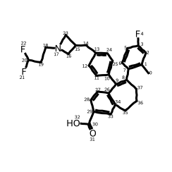 Cc1cc(F)ccc1C1=C(c2ccc(CC3CN(CCC(F)F)C3)cc2)c2ccc(C(=O)O)cc2CCC1